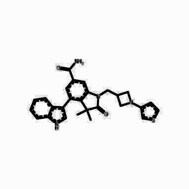 CC1(C)C(=O)N(CC2CN(c3ccsc3)C2)c2cc(C(N)=O)cc(-c3c[nH]c4ccccc34)c21